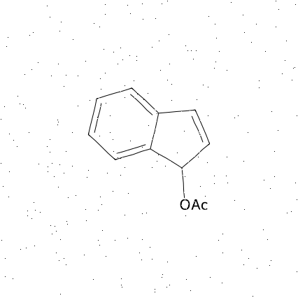 CC(=O)OC1C=Cc2ccccc21